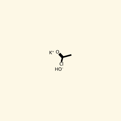 CC(=O)Cl.[K+].[OH-]